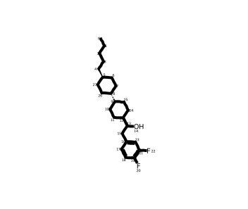 CCCCC[C@H]1CC[C@H](C2CCC(C(O)Cc3ccc(F)c(F)c3)CC2)CC1